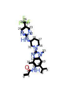 C=CC(=O)Nc1c(C(C)C)cc2c(nc(N3CCCC(Nc4ncc(C(F)(F)F)cn4)C3)n2C)c1C